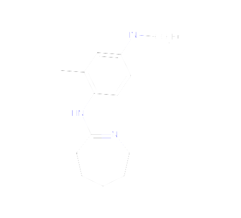 CCOC(=O)Nc1ccc(NC2=NCCCCC2)c(C)c1